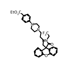 CCOC(=O)c1ccc(N2CCN(CCCCC3(C(=O)NCC(F)(F)F)c4ccccc4Oc4ccccc43)CC2)cc1